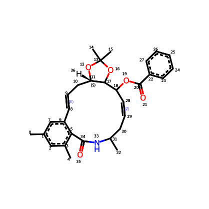 Cc1cc(C)c2c(c1)/C=C/C[C@@H]1OC(C)(C)OC1C(OC(=O)c1ccccc1)/C=C\CC(C)NC2=O